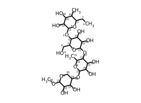 CCC1OC(OC2C(CO)OC(OC3C(C)OC(OC4COC(OC)C(O)C4O)C(O)C3O)C(O)C2O)C(O)C(O)C1C